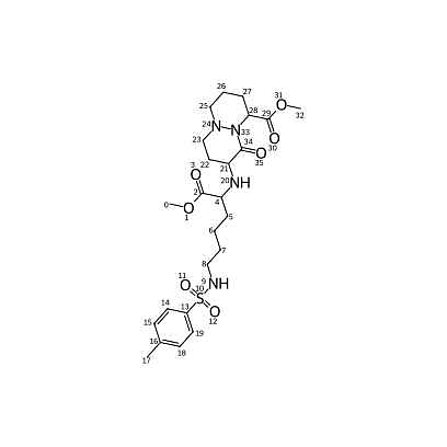 COC(=O)C(CCCCNS(=O)(=O)c1ccc(C)cc1)NC1CCN2CCCC(C(=O)OC)N2C1=O